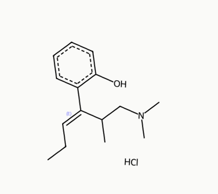 CC/C=C(/c1ccccc1O)C(C)CN(C)C.Cl